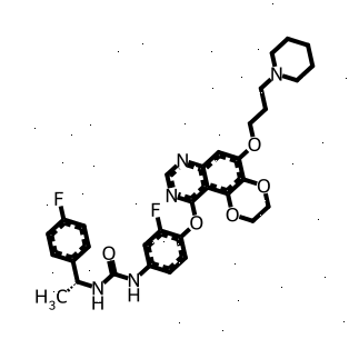 C[C@@H](NC(=O)Nc1ccc(Oc2ncnc3cc(OCCCN4CCCCC4)c4c(c23)OCCO4)c(F)c1)c1ccc(F)cc1